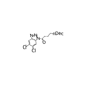 CCCCCCCCCCCCCC(=O)n1nnc2cc(Cl)c(Cl)cc21